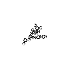 COc1cc(NC(=O)NOc2ccc(Oc3cccc(OC)c3)cc2CNc2ccc(N3CCOCC3)cc2)cc(OC)c1